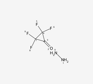 NN.O=C1C(F)(F)C1(F)F